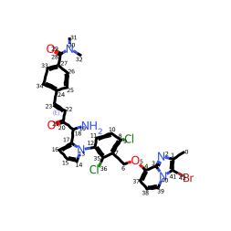 Cc1nc2c(OCc3c(Cl)ccc(-n4cccc4C(N)C(=O)/C=C/c4ccc(C(=O)N(C)C)cc4)c3Cl)cccn2c1Br